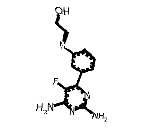 Nc1nc(N)c(F)c(-c2cccc(N=CCO)c2)n1